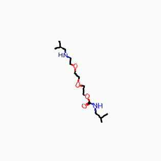 CC(C)CNCCOCCOCCOC(=O)NCC(C)C